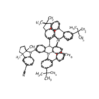 Cc1cc2c3c(c1)N(c1ccc(C(C)(C)C)cc1-c1ccccc1)c1cc4c(cc1B3c1ccc(N3c5ccc(C#N)cc5C5(C)CCCC35C)cc1N2c1ccc(C(C)(C)C)cc1-c1ccccc1)CC(C)(C)C4